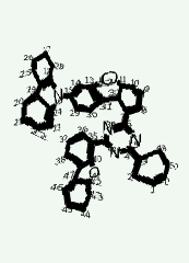 C1=CCC(c2nc(C3=CC=CC4Oc5cc(-n6c7c(c8ccccc86)C=CCC7)ccc5C34)nc(-c3cccc4c3oc3ccccc34)n2)C=C1